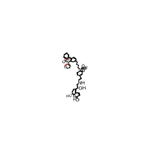 F.F.O=C(O)N(c1cc(CCCCn2c(=O)oc3cc(CCNC[C@H](O)c4ccc(O)c5[nH]c(=O)ccc45)ccc32)ccc1-c1ccccc1)C1CN2CCC1CC2